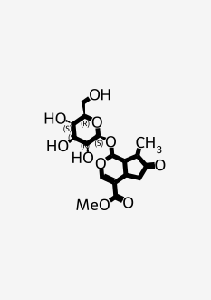 COC(=O)C1=COC(O[C@@H]2O[C@H](CO)[C@@H](O)[C@H](O)[C@H]2O)C2C(C)C(=O)CC12